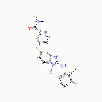 Cc1cccc(Nc2nc3cc(Oc4ccnc(C(=O)N(C)C)c4)ccc3n2C)c1C